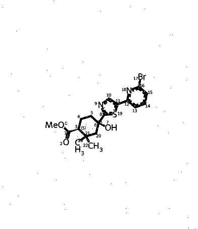 COC(=O)[C@H]1CC[C@](O)(c2ncc(-c3cccc(Br)n3)s2)CC1(C)C